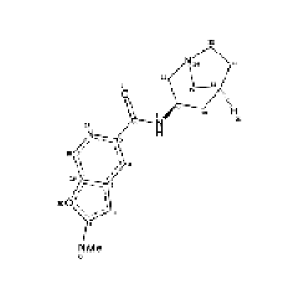 CNc1cc2cc(C(=O)N[C@@H]3C[C@@H]4CCN(C4)C3)ncc2o1